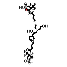 O=C(CCCOCCN(CCO)CC(O)C1CCN(CCCC(=O)OC(CS(=O)(=O)O)(C(F)(F)F)C(F)(F)F)C1)OC(CS(=O)(=O)O)(C(F)(F)F)C(F)(F)F